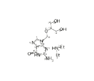 CCNCC.Nc1nc2c(ncn2COC(CO)CO)c(=O)[nH]1